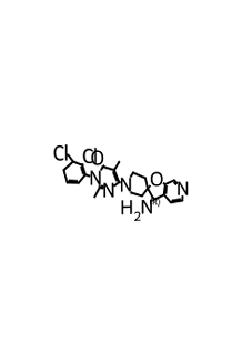 Cc1c(N2CCC3(CC2)Oc2cnccc2[C@H]3N)nc(C)n(C2=C(Cl)C(Cl)CC=C2)c1=O